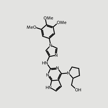 COc1cc(-n2cnc(Nc3nc(N4CCCC4CO)c4cc[nH]c4n3)c2)cc(OC)c1OC